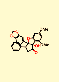 COc1cc(OC)c2c(c1)OC1(c3ccc4c(c3)OCO4)C(c3ccccc3)CC(=O)[C@@]21O